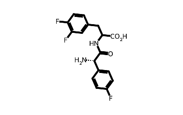 N[C@H](C(=O)NC(Cc1ccc(F)c(F)c1)C(=O)O)c1ccc(F)cc1